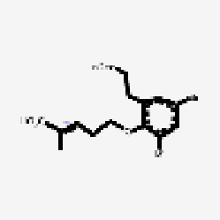 CCCCCCCCCCCCc1cc(Br)cc(Br)c1OCC/C=C(\C)C(=O)O